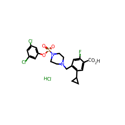 Cl.O=C(O)c1cc(C2CC2)c(CN2CCN(S(=O)(=O)Oc3cc(Cl)cc(Cl)c3)CC2)cc1F